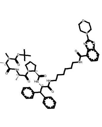 C[C@H](NC(=O)[C@H](C)N(C)C(=O)OC(C)(C)C)C(=O)N1CCC[C@H]1C(=O)N[C@H](C(=O)NCCCCCCNC(=O)c1cccc2sc(N3CCOCC3)nc12)C(c1ccccc1)c1ccccc1